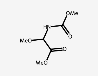 COC(=O)NC(OC)C(=O)OC